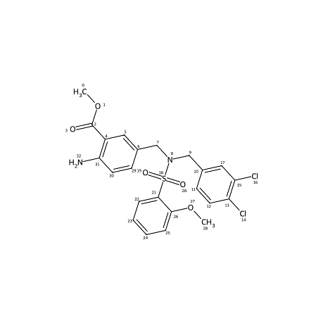 COC(=O)c1cc(CN(Cc2ccc(Cl)c(Cl)c2)S(=O)(=O)c2ccccc2OC)ccc1N